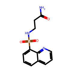 NC(=O)CCNS(=O)(=O)c1cccc2cccnc12